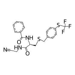 N#CCNC(=O)[C@H](CSCc1ccc(SC(F)(F)F)cc1)NC(=O)c1ccccc1